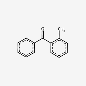 Cc1ccccc1C(=O)c1[c]cc[c]c1